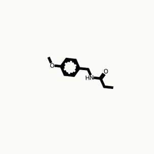 CCC(=O)NCc1ccc(OC)cc1